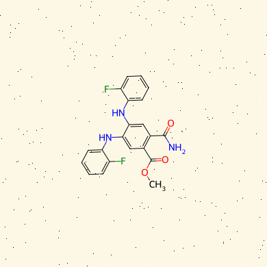 COC(=O)c1cc(Nc2ccccc2F)c(Nc2ccccc2F)cc1C(N)=O